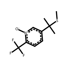 CSC(C)(C)c1ccc(C(F)(F)F)[n+]([O-])c1